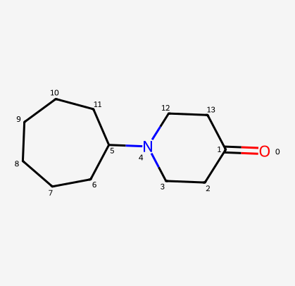 O=C1CCN(C2CCCCCC2)CC1